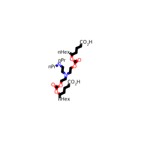 CCCCCCC(CCCC(=O)O)OC(=O)OCCN(CCOC(=O)OC(CCCCCC)CCCC(=O)O)CCN(CCC)CCC